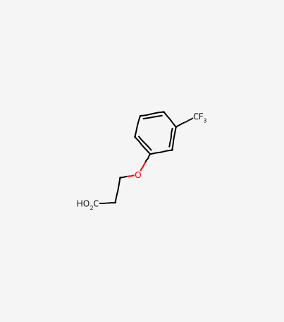 O=C(O)CCOc1cccc(C(F)(F)F)c1